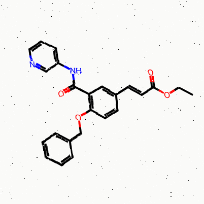 CCOC(=O)C=Cc1ccc(OCc2ccccc2)c(C(=O)Nc2cccnc2)c1